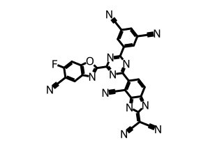 N#CC(C#N)=C1N=c2ccc(-c3nc(-c4cc(C#N)cc(C#N)c4)nc(-c4nc5cc(C#N)c(F)cc5o4)n3)c(C#N)c2=N1